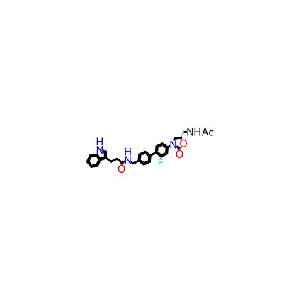 CC(=O)NC[C@H]1CN(c2ccc(-c3ccc(CNC(=O)CCc4c[nH]c5ccccc45)cc3)c(F)c2)C(=O)O1